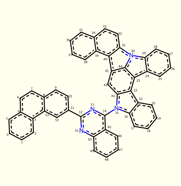 c1ccc2c(c1)ccc1ccc(-c3nc(-n4c5ccccc5c5c6c7ccccc7n7c8ccc9ccccc9c8c(cc54)c67)c4ccccc4n3)cc12